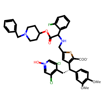 COc1ccc([C@H](Cc2c(Cl)c[n+](O)cc2Cl)c2cc(CNC(C(=O)OC3CCN(Cc4ccccc4)CC3)c3ccccc3F)sc2C(=O)[O-])cc1OC